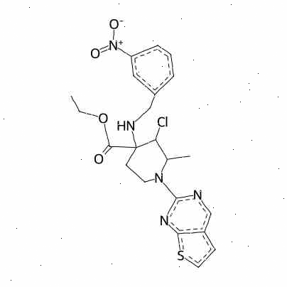 CCOC(=O)C1(NCc2cccc([N+](=O)[O-])c2)CCN(c2ncc3ccsc3n2)C(C)C1Cl